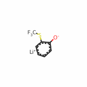 [Li+].[O-]c1ccccc1SC(F)(F)F